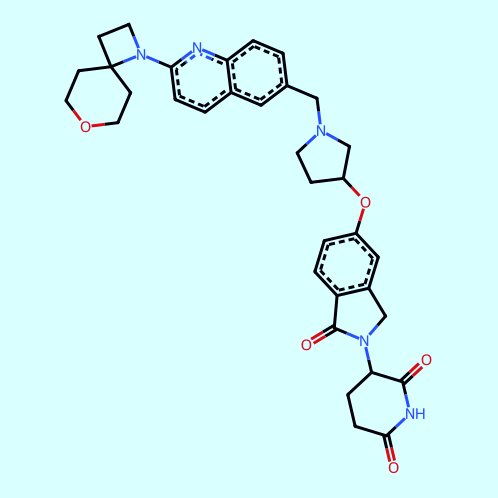 O=C1CCC(N2Cc3cc(OC4CCN(Cc5ccc6nc(N7CCC78CCOCC8)ccc6c5)C4)ccc3C2=O)C(=O)N1